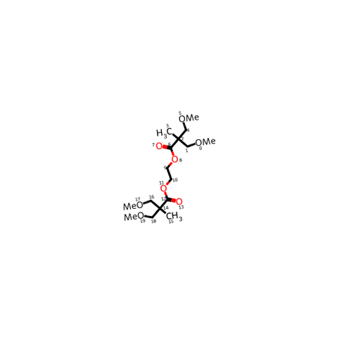 COCC(C)(COC)C(=O)OCCOC(=O)C(C)(COC)COC